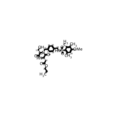 C=CCOC(=O)C[C@@H]1NC(=O)[C@@H](CO)N(Cc2ccc(CNS(=O)(=O)c3c(C)cc(OC)c(C)c3C)cc2)C1=O